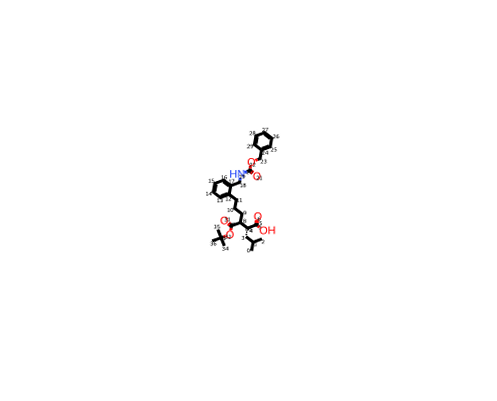 CC(C)C[C@@H](C(=O)O)C(CCCc1ccccc1CNC(=O)OCc1ccccc1)C(=O)OC(C)(C)C